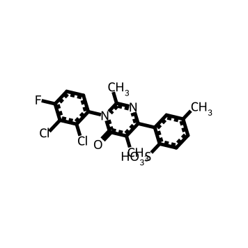 Cc1ccc(S(=O)(=O)O)c(-c2nc(C)n(-c3ccc(F)c(Cl)c3Cl)c(=O)c2C)c1